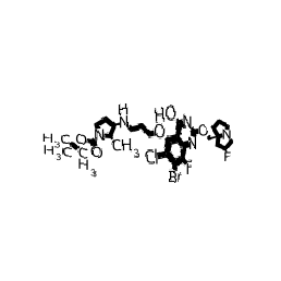 C[C@@H]1[C@H](NCCCOc2c(Cl)c(Br)c(F)c3nc(OC[C@@]45CCCN4C[C@H](F)C5)nc(O)c23)CCN1C(=O)OC(C)(C)C